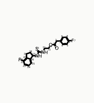 O=C(Cc1ccc(F)cc1)OCCNC(=S)NC1CCc2c(F)cccc21